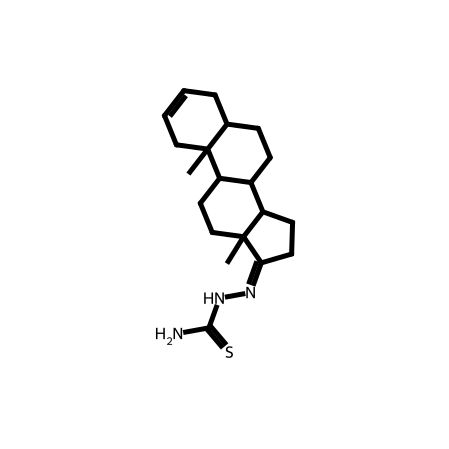 CC12CCC3C(CCC4CC=CCC43C)C1CC/C2=N/NC(N)=S